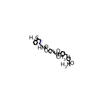 C=C(/C=C\C=C/CNC(=O)OC1CCN(CCN(C)C(=O)c2ccc(CN3CCC(C(N)=O)CC3)cc2)CC1)c1ccccc1